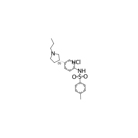 CCCN1CC[C@@H](c2ccc(NS(=O)(=O)c3ccc(C)cc3)cc2)C1.Cl